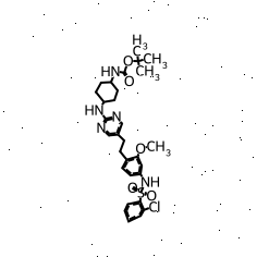 COc1cc(NS(=O)(=O)c2ccccc2Cl)ccc1CCc1cnc(NC2CCC(NC(=O)OC(C)(C)C)CC2)nc1